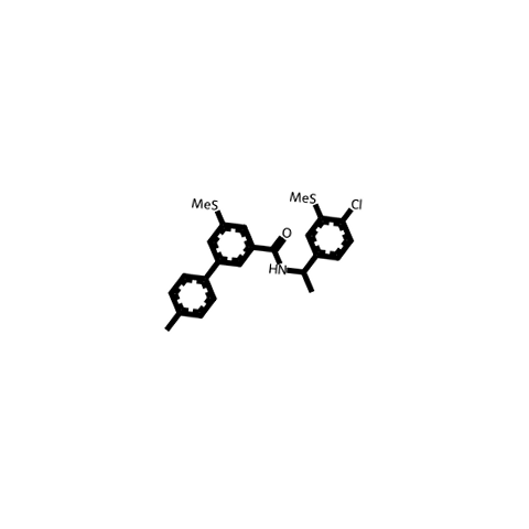 CSc1cc(C(=O)NC(C)c2ccc(Cl)c(SC)c2)cc(-c2ccc(C)cc2)c1